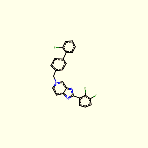 Fc1ccccc1-c1ccc(Cn2ccc3nc(-c4cccc(F)c4F)nc-3c2)cc1